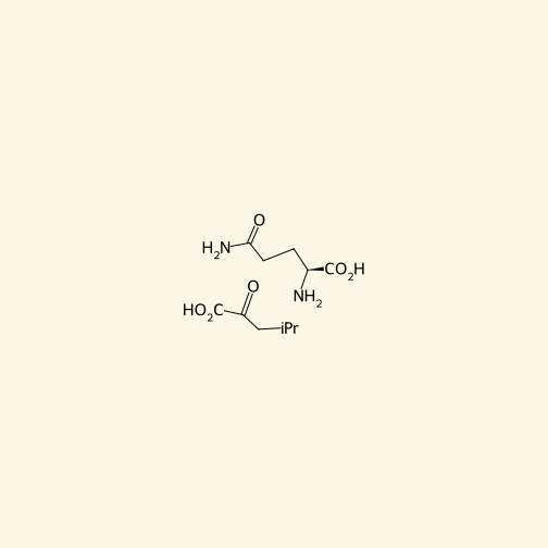 CC(C)CC(=O)C(=O)O.NC(=O)CC[C@H](N)C(=O)O